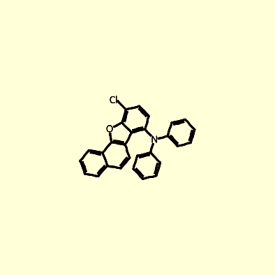 Clc1ccc(N(c2ccccc2)c2ccccc2)c2c1oc1c3ccccc3ccc12